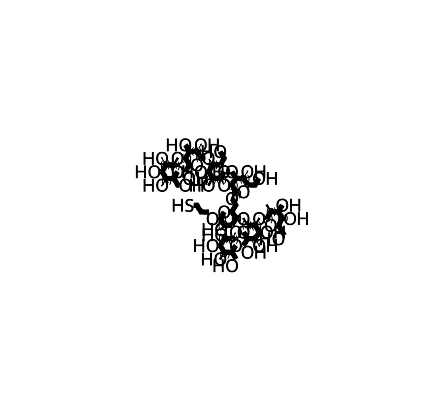 C[C@H]1C(O)[C@H](O)C(CO)O[C@H]1O[C@H]1C(O)[C@H](O)C(CO)O[C@H]1O[C@@H]1C(CO[C@@H]2OC(CO)[C@@H](O)C(O)[C@@H]2O[C@H]2OC(CO)[C@@H](O[C@@H]3OC(CO)[C@H](O[C@H]4OC(CO)[C@H](O)C(O)[C@@H]4O)C(O)[C@@H]3O)C(O)[C@@H]2O)O[C@H](OCCCS)[C@@H](O)C1O[C@@H]1OC(CO)[C@@H](O)C(O)[C@@H]1O